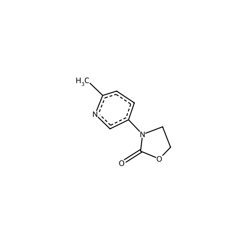 Cc1ccc(N2CCOC2=O)cn1